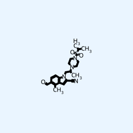 Cc1c(C=O)ccc2c1cc(C#N)n2CC(C)N1CCN(S(=O)(=O)C(C)C)CC1